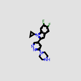 Fc1cc2cc(-c3cnnc(N4CCNCC4)c3)n(C3CC3)c2cc1F